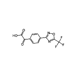 O=C(O)C(=O)c1ccc(-c2noc(C(F)(F)F)n2)cc1